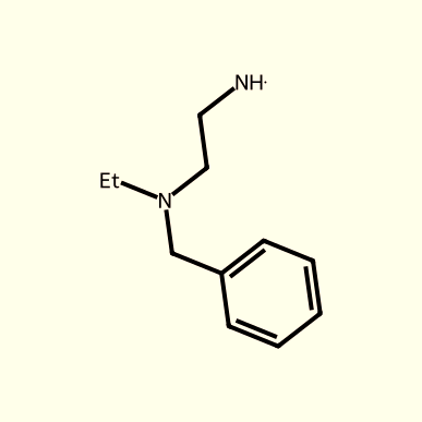 CCN(CC[NH])Cc1ccccc1